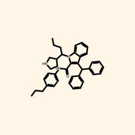 CCCc1ccc(NC(=O)c2c(C(c3ccccc3)c3ccccc3)c3ccccc3n2C(CCC)C2CCNC2)cc1